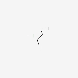 Cl.O=S(=O)(O)CCC(F)(F)F